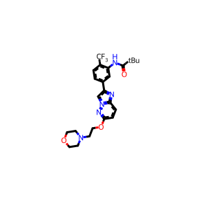 CC(C)(C)C(=O)Nc1cc(-c2cn3nc(OCCN4CCOCC4)ccc3n2)ccc1C(F)(F)F